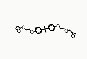 CC(C)(c1ccc(OCCOCC2CO2)cc1)c1ccc(OCCOC2CCO2)cc1